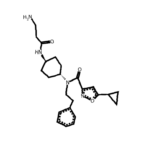 NCCC(=O)N[C@H]1CC[C@H](N(CCc2ccccc2)C(=O)c2cc(C3CC3)on2)CC1